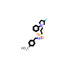 O=C(O)c1ccc(CNS(=O)(=O)CCC[N@@+]2(c3ccccc3)CCC(F)C2)cc1